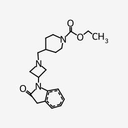 CCOC(=O)N1CCC(CN2CC(N3C(=O)Cc4ccccc43)C2)CC1